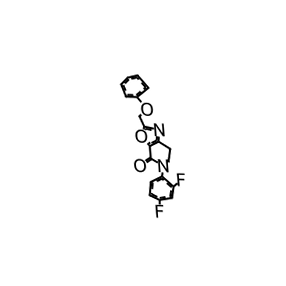 O=C1c2oc(COc3ccccc3)nc2CCN1c1ccc(F)cc1F